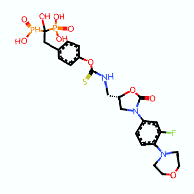 O=C1O[C@@H](CNC(=S)Oc2ccc(CC(O)([PH](=O)O)P(=O)(O)O)cc2)CN1c1ccc(N2CCOCC2)c(F)c1